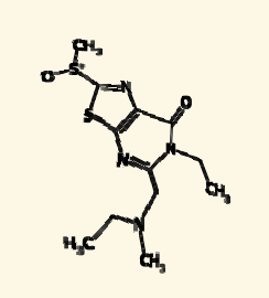 CCN(C)Cc1nc2sc([S+](C)[O-])nc2c(=O)n1CC